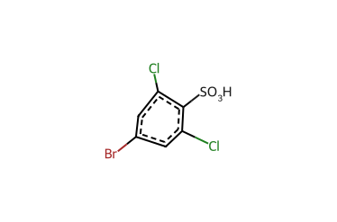 O=S(=O)(O)c1c(Cl)cc(Br)cc1Cl